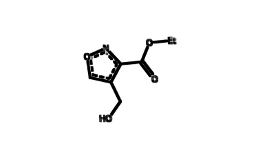 CCOC(=O)c1nocc1CO